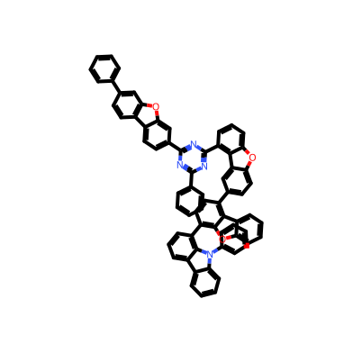 c1ccc(-c2ccc3c(c2)oc2cc(-c4nc(-c5ccccc5)nc(-c5cccc6oc7ccc(-c8ccc(-c9cccc%10c%11ccccc%11n(-c%11ccccc%11)c9%10)c9oc%10ccccc%10c89)cc7c56)n4)ccc23)cc1